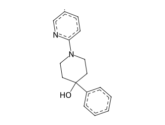 OC1(c2ccccc2)CCN(c2cc[c]cn2)CC1